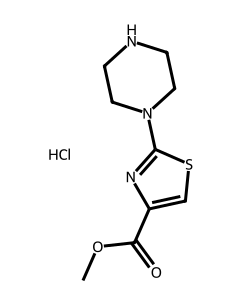 COC(=O)c1csc(N2CCNCC2)n1.Cl